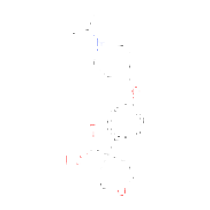 CC(C)N1CCC(Oc2ccc(C3(C(=O)O)CCOCC3)cc2)CC1